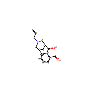 C=CCN1CC2CC(C1)c1cccc(C=O)c1C2=O